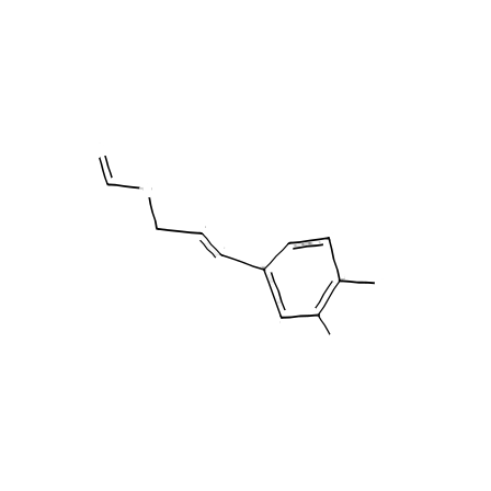 O=[C]OC/C=C/c1ccc(Cl)c(Cl)c1